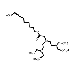 CCCCCCCC/C=C\CCCCCCCOC(=O)CN(CCN(CC(=O)O)CC(=O)O)CCN(CC(=O)O)CC(=O)O